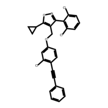 Clc1cc(OCc2c(-c3c(Cl)cccc3Cl)noc2C2CC2)ccc1C#Cc1c[c]ccc1